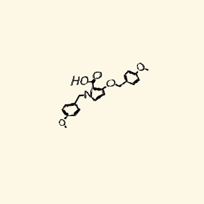 COc1ccc(COc2ccn(Cc3ccc(OC)cc3)c2C(=O)O)cc1